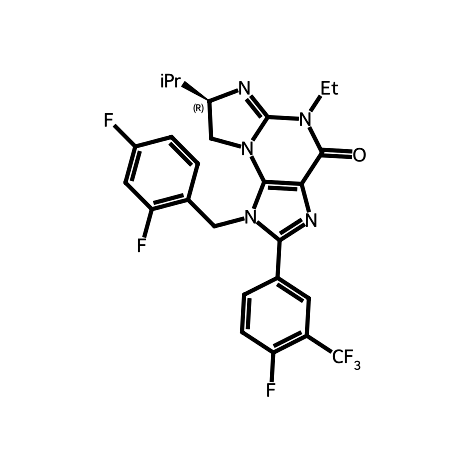 CCN1C(=O)c2nc(-c3ccc(F)c(C(F)(F)F)c3)n(Cc3ccc(F)cc3F)c2N2C[C@@H](C(C)C)N=C12